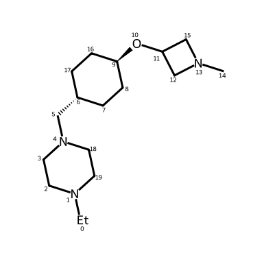 CCN1CCN(C[C@H]2CC[C@H](OC3CN(C)C3)CC2)CC1